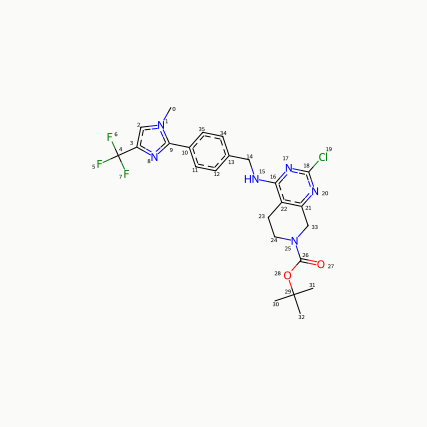 Cn1cc(C(F)(F)F)nc1-c1ccc(CNc2nc(Cl)nc3c2CCN(C(=O)OC(C)(C)C)C3)cc1